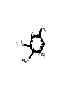 Cl.Nc1ccc(N)c(N)n1